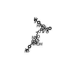 CSC[C@H](NC(=O)CCC(C)CO[C@@H]1C[C@@H](C(=O)NCc2ccc(-c3scnc3C)cc2)N(C(=O)[C@H](CSC)N2Cc3ccccc3C2=O)C1)C(=O)N1C[C@H](O)C[C@H]1C(=O)NCc1ccc(-c2scnc2C)cc1